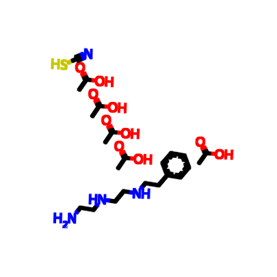 CC(=O)O.CC(=O)O.CC(=O)O.CC(=O)O.CC(=O)O.N#CS.NCCNCCNCCc1ccccc1